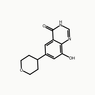 O=c1[nH]cnc2c(O)cc(C3CCOCC3)cc12